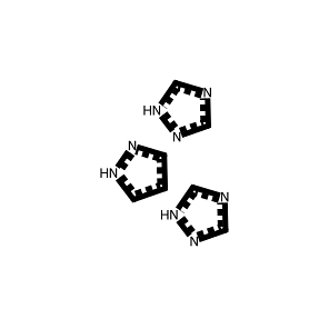 c1cn[nH]c1.c1nc[nH]n1.c1nc[nH]n1